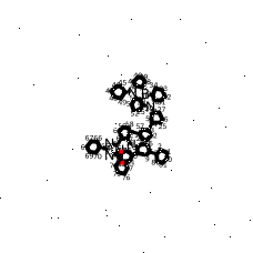 c1ccc(-c2ccc3c(c2)c2ccccc2n3-c2c(-c3cccc(-c4cccc(N5c6ccccc6B6c7ccccc7N(c7ccccc7)c7cccc5c76)c4)c3)cccc2-c2nc(-c3ccccc3)nc(-c3ccccc3)n2)cc1